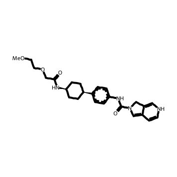 COCCOCC(=O)N[C@H]1CC[C@@H](c2ccc(NC(=O)N3C=C4C=CNC=C4C3)cc2)CC1